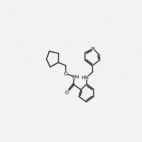 O=C(NOCC1CCCC1)c1ccccc1NCc1c[c]ncc1